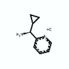 Cl.N[C@H](c1ccccn1)C1CC1